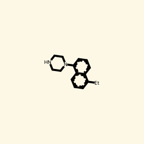 CCc1cccc2c(N3CCNCC3)cccc12